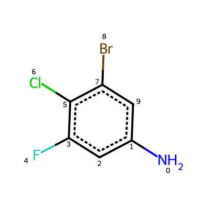 Nc1cc(F)c(Cl)c(Br)c1